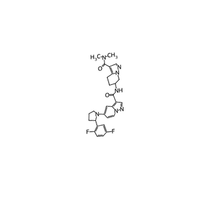 CN(C)C(=O)c1cnn2c1CCC(NC(=O)c1cnn3ccc(N4CCCC4c4cc(F)ccc4F)cc13)C2